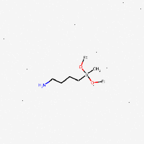 CCO[Si](C)(CCCCN)OCC